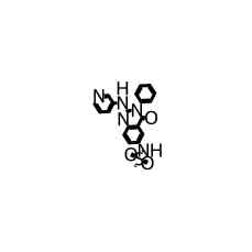 CS(=O)(=O)Nc1ccc2nc(Nc3cccnc3)n(-c3ccccc3)c(=O)c2c1